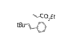 C=CC(=O)OCC.CC(C)(C)C=Cc1ccccc1